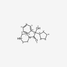 O=C(N1CCNCC1)C(O)(c1ccccc1)C1CCCC1